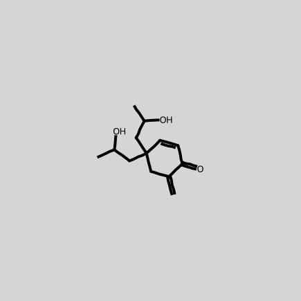 C=C1CC(CC(C)O)(CC(C)O)C=CC1=O